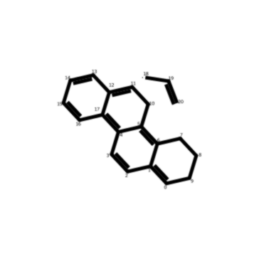 C1=c2ccc3c(c2CCC1)CC=c1ccccc1=3.[CH2]C=C